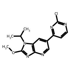 COc1nc2ncc(-c3ccnc(Cl)n3)cc2n1C(C)C